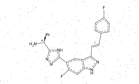 CC(C)[C@H](N)c1nnc(-c2cc3c(/C=C/c4ccc(F)cc4)n[nH]c3cc2F)[nH]1